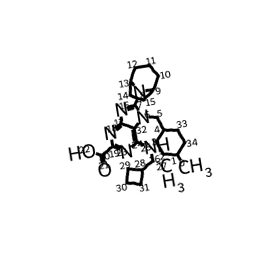 CC1CCC(Cn2c(N3C4CCCC3CC4)nc3nc(C(=O)O)nc(N[C@H](C)C4CCC4)c32)CC1